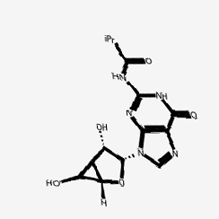 CC(C)C(=O)Nc1nc2c(ncn2[C@@H]2O[C@@H]3C(O)C3[C@@H]2O)c(=O)[nH]1